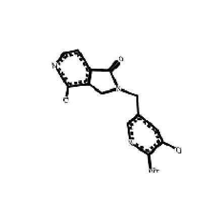 CCCc1ncc(CN2Cc3c(ccnc3Cl)C2=O)cc1Cl